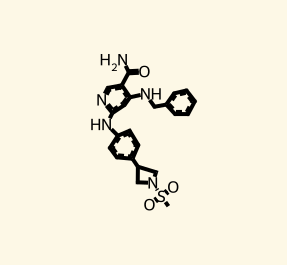 CS(=O)(=O)N1CC(c2ccc(Nc3cc(NCc4ccccc4)c(C(N)=O)cn3)cc2)C1